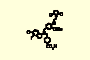 COc1cc(CN(CC2CCC(C(=O)O)CC2)[C@H]2CCc3c2ccc(Cl)c3F)ccc1OCCN1C(=O)CCC1=O